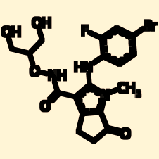 Cn1c(Nc2ccc(Br)cc2F)c(C(=O)NOC(CO)CO)c2c1C(=O)CC2